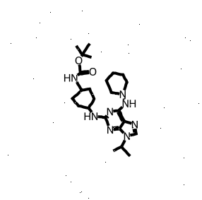 CC(C)n1cnc2c(NN3CCCCC3)nc(NC3CCC(NC(=O)OC(C)(C)C)CC3)nc21